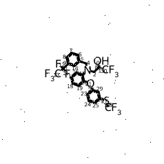 O[C@H](CN(Cc1cccc(C(F)(F)C(F)(F)F)c1)c1ccccc1Oc1cccc(SC(F)(F)F)c1)C(F)(F)F